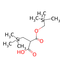 C[Si](C)(C)COC(=O)C(C[Si](C)(C)C)C(=O)O